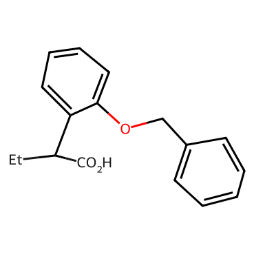 CCC(C(=O)O)c1ccccc1OCc1ccccc1